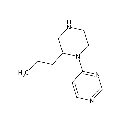 CCCC1CNCCN1c1ccn[c]n1